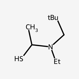 CCN(CC(C)(C)C)C(C)S